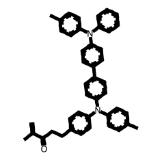 C=C(C)C(=O)CCc1ccc(N(c2ccc(C)cc2)c2ccc(-c3ccc(N(c4ccccc4)c4ccc(C)cc4)cc3)cc2)cc1